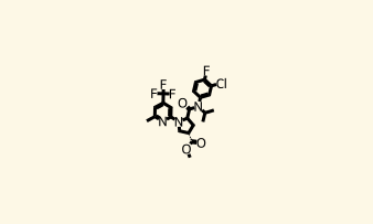 COC(=O)[C@H]1CC(C(=O)N(c2ccc(F)c(Cl)c2)C(C)C)N(c2cc(C(F)(F)F)cc(C)n2)C1